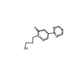 O=c1cc(-c2ncccn2)cnn1CCCO